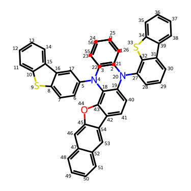 c1ccc(N(c2ccc3sc4ccccc4c3c2)c2c(N(c3ccccc3)c3cccc4c3sc3ccccc34)ccc3c2oc2cc4ccccc4cc23)cc1